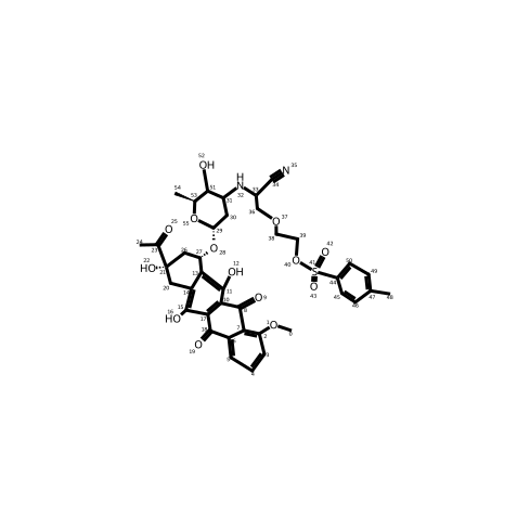 COc1cccc2c1C(=O)c1c(O)c3c(c(O)c1C2=O)C[C@@](O)(C(C)=O)C[C@@H]3O[C@H]1CC(NC(C#N)COCCOS(=O)(=O)c2ccc(C)cc2)C(O)[C@H](C)O1